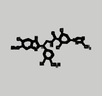 CCc1cc([C@H](CNC(=O)c2c(Cl)cc(-n3cnc(C)n3)cc2Cl)c2nc3cc(OC)c(Cl)cc3[nH]2)ccc1C(=O)O